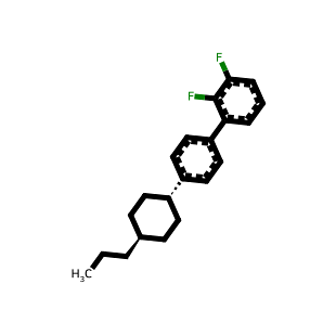 CCC[C@H]1CC[C@H](c2ccc(-c3cccc(F)c3F)cc2)CC1